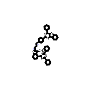 C=c1/c(=C\C=C\c2ccc(C3=NC4c5ccccc5SC4C(c4ccccc4)=N3)cc2)sc2cccc(-c3nc(-c4ccccc4)nc(-c4ccccc4)n3)c12